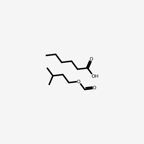 CC(C)CCOC=O.CCCCCC(=O)O